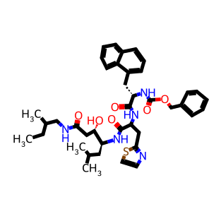 CCC(C)CNC(=O)C[C@H](O)[C@H](CC(C)C)NC(=O)C(Cc1nccs1)NC(=O)[C@H](Cc1cccc2ccccc12)NC(=O)OCc1ccccc1